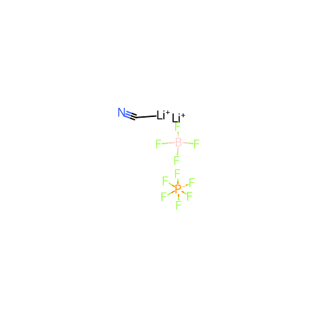 CC#N.F[B-](F)(F)F.F[P-](F)(F)(F)(F)F.[Li+].[Li+]